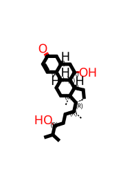 CC(C)[C@H](O)CC[C@@H](C)[C@H]1CC[C@H]2[C@@H]3[C@H](O)C[C@H]4CC(=O)C=C[C@]4(C)[C@H]3CC[C@]12C